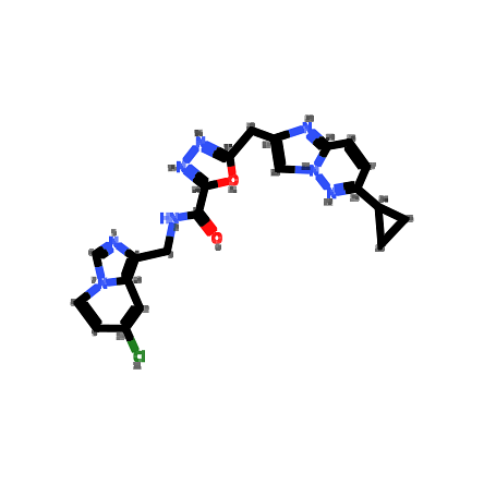 O=C(NCc1ncn2ccc(Cl)cc12)c1nnc(Cc2cn3nc(C4CC4)ccc3n2)o1